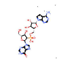 Nc1ncnc2c1ccn2[C@@H]1O[C@H](COP(=O)(O)[C@H]2C(n3cnc4c(=O)[nH]cnc43)O[C@H](CO)[C@H]2O)[C@@H](O)[C@H]1O